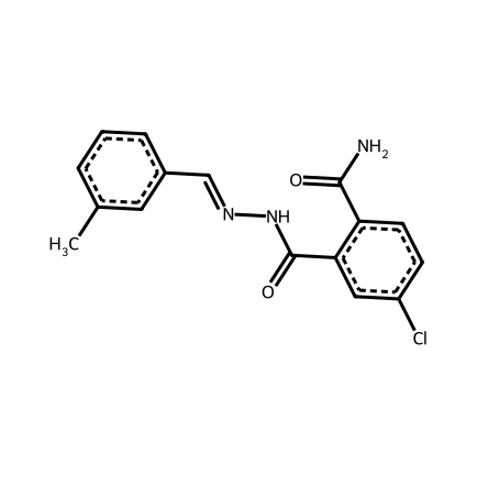 Cc1cccc(C=NNC(=O)c2cc(Cl)ccc2C(N)=O)c1